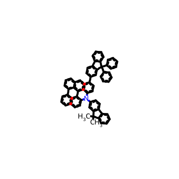 CC1(C)c2ccccc2-c2ccc(N(c3ccc(-c4ccc5c(c4)C(c4ccccc4)(c4ccccc4)c4ccccc4-5)cc3)c3ccccc3-c3cccc4cccc(-c5ccccc5)c34)cc21